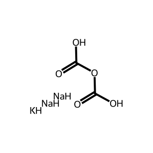 O=C(O)OC(=O)O.[KH].[NaH].[NaH]